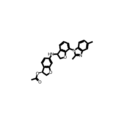 CC(=O)O[C@@H]1COc2cc(NC3COc4c3cccc4-n3c(C)nc4cc(C)ccc43)ccc21